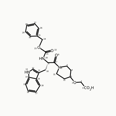 O=C(O)COC1CCN(C(=O)[C@H](Cc2c[nH]c3ccccc23)NC(=O)OCc2ccccc2)CC1